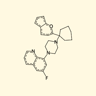 Fc1cc(N2CCN(C3(c4ccc5cccc-5o4)CCCCC3)CC2)c2ncccc2c1